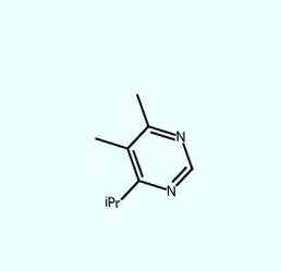 Cc1ncnc(C(C)C)c1C